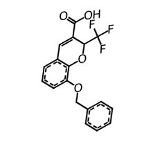 O=C(O)C1=Cc2cccc(OCc3ccccc3)c2OC1C(F)(F)F